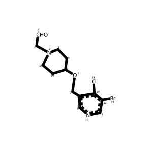 O=CCN1CCC(OCc2cncc(Br)c2Cl)CC1